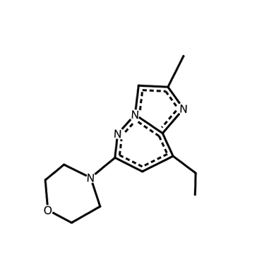 CCc1cc(N2CCOCC2)nn2cc(C)nc12